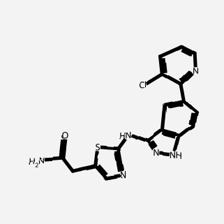 NC(=O)Cc1cnc(Nc2n[nH]c3ccc(-c4ncccc4Cl)cc23)s1